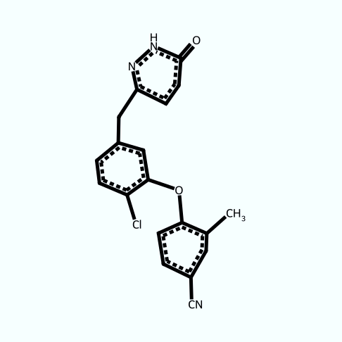 Cc1cc(C#N)ccc1Oc1cc(Cc2ccc(=O)[nH]n2)ccc1Cl